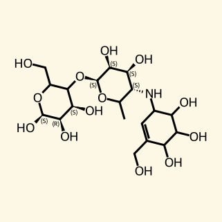 CC1O[C@@H](OC2C(CO)O[C@H](O)[C@H](O)[C@@H]2O)[C@@H](O)[C@@H](O)[C@@H]1NC1C=C(CO)C(O)C(O)C1O